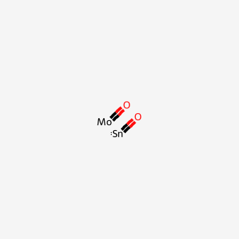 [O]=[Mo].[O]=[Sn]